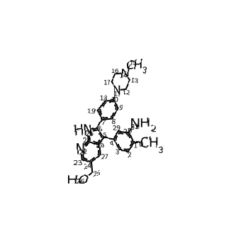 Cc1ccc(-c2c(-c3ccc(N4CCN(C)CC4)cc3)[nH]c3ncc(CO)cc23)cc1N